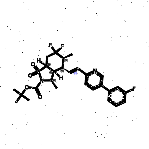 C[C@@H]1[C@H]2[C@@H](/C=C/c3ccc(-c4cccc(F)c4)cn3)[C@H](C)C(F)(F)C[C@H]2S(=O)(=O)N1C(=O)OC(C)(C)C